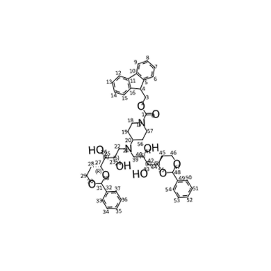 O=C(OCC1c2ccccc2-c2ccccc21)N1CCC(N(C[C@H](O)[C@@H](O)[C@H]2CCOC(c3ccccc3)O2)C[C@H](O)[C@@H](O)[C@H]2CCOC(c3ccccc3)O2)CC1